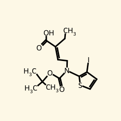 CC/C(=C\CN(C(=O)OC(C)(C)C)c1sccc1I)C(=O)O